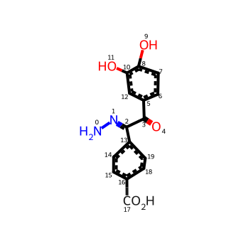 NN=C(C(=O)c1ccc(O)c(O)c1)c1ccc(C(=O)O)cc1